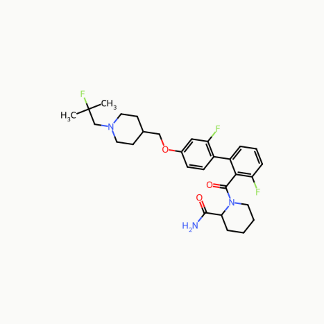 CC(C)(F)CN1CCC(COc2ccc(-c3cccc(F)c3C(=O)N3CCCCC3C(N)=O)c(F)c2)CC1